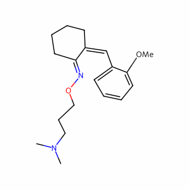 COc1ccccc1C=C1CCCCC1=NOCCCN(C)C